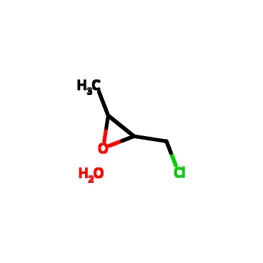 CC1OC1CCl.O